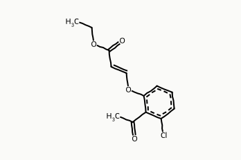 CCOC(=O)C=COc1cccc(Cl)c1C(C)=O